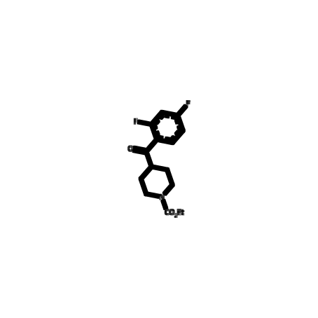 CCOC(=O)N1CCC(C(=O)c2ccc(F)cc2F)CC1